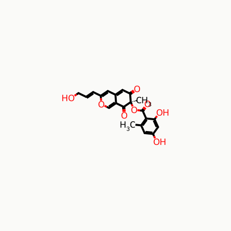 Cc1cc(O)cc(O)c1C(=O)O[C@]1(C)C(=O)C=C2C=C(/C=C/CO)OC=C2C1=O